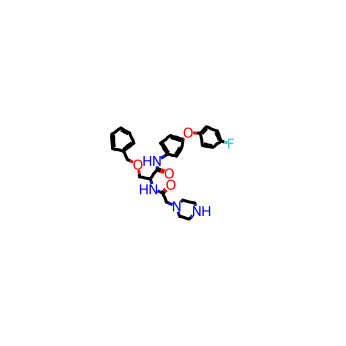 O=C(CN1CCNCC1)NC(COCc1ccccc1)C(=O)Nc1ccc(Oc2ccc(F)cc2)cc1